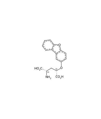 N[C@@H](C[C@H](Oc1ccc2oc3ccccc3c2c1)C(=O)O)C(=O)O